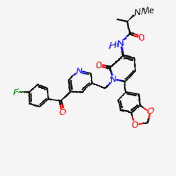 CN[C@H](C)C(=O)Nc1ccc(-c2ccc3c(c2)OCO3)n(Cc2cncc(C(=O)c3ccc(F)cc3)c2)c1=O